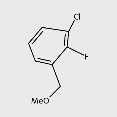 COCc1cccc(Cl)c1F